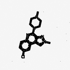 CN1CCN(c2nc3ccc(Cl)cc3c3cn(C)nc23)CC1